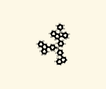 C1=CC2C=CC=C(c3ccc(N(c4ccc(-c5cc6ccccc6c6ccccc56)cc4)c4cccc(-c5cc6ccccc6c6c5c5ccccc5n6-c5ccccc5)c4)cc3)C2C=C1